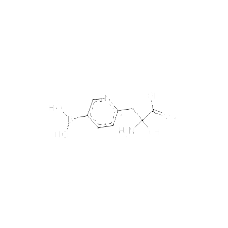 CC(N)(Cc1ccc(B(O)O)cn1)C(=O)O